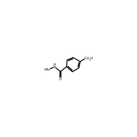 CCCCNC(=O)c1ccc(C(=O)O)cc1